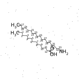 CCCCCCCCCCCCCC(=O)O.CCCCCCCCCCCCCCCCCCN